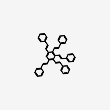 [c]1c(C=Cc2ccccc2)c(C=Cc2ccccc2)c(C=Cc2ccccc2)c(C=Cc2ccccc2)c1C=Cc1ccccc1